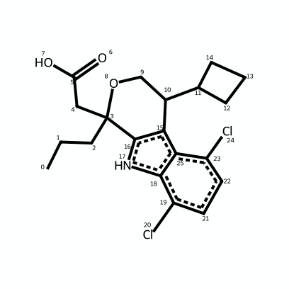 CCCC1(CC(=O)O)OCC(C2CCC2)c2c1[nH]c1c(Cl)ccc(Cl)c21